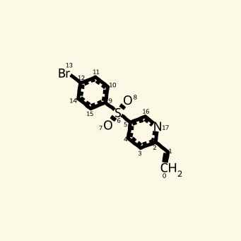 C=Cc1ccc(S(=O)(=O)c2ccc(Br)cc2)cn1